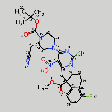 COC(=O)C1(Cc2nc(Cl)nc(N3CCN(C(=O)OC(C)(C)C)[C@@H](CC#N)C3)c2[N+](=O)[O-])CCCc2c(F)cccc21